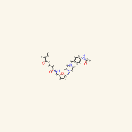 CCC(C)C(=O)CCCC(=O)NCC1CCC(CN2CCN(Cc3ccc(NC(C)=O)cc3)CC2)O1